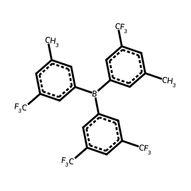 Cc1cc(B(c2cc(C)cc(C(F)(F)F)c2)c2cc(C(F)(F)F)cc(C(F)(F)F)c2)cc(C(F)(F)F)c1